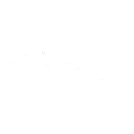 CCCCCCOCCCc1ccc(-c2ccc(OC)cc2)nc1